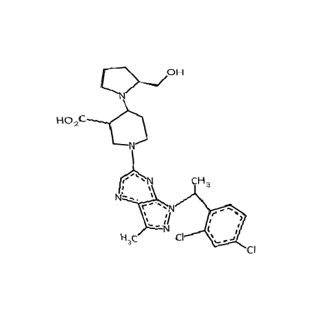 Cc1nn(C(C)c2ccc(Cl)cc2Cl)c2nc(N3CCC(N4CCC[C@H]4CO)C(C(=O)O)C3)cnc12